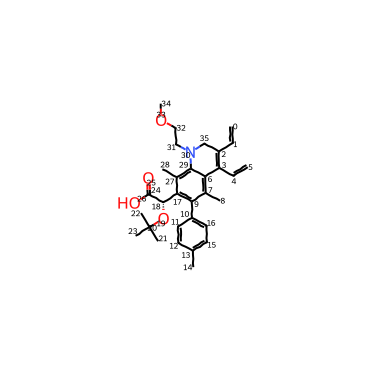 C=CC1=C(C=C)c2c(C)c(-c3ccc(C)cc3)c([C@H](OC(C)(C)C)C(=O)O)c(C)c2N(CCOC)C1